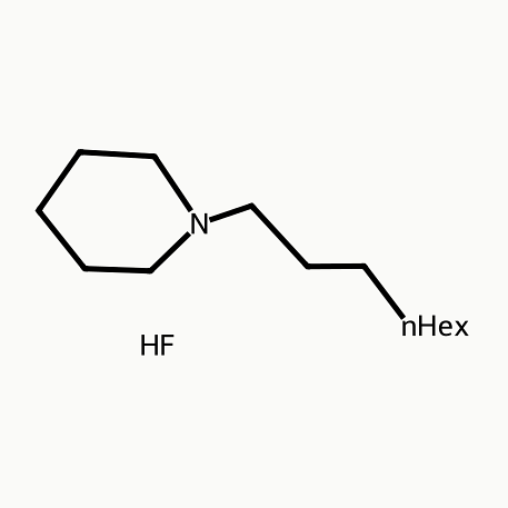 CCCCCCCCCN1CCCCC1.F